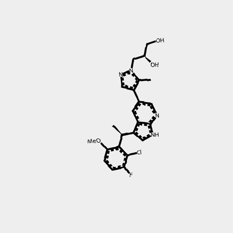 COc1ccc(F)c(Cl)c1[C@@H](C)c1c[nH]c2ncc(-c3cnn(C[C@H](O)CO)c3C)cc12